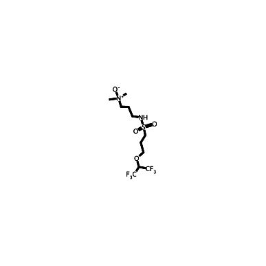 C[N+](C)([O-])CCCNS(=O)(=O)CCCOC(C(F)(F)F)C(F)(F)F